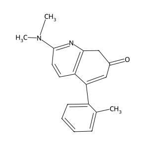 Cc1ccccc1C1=CC(=O)Cc2nc(N(C)C)ccc21